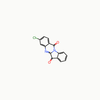 O=C1c2ccccc2-n2c1nc1cc(Cl)ccc1c2=O